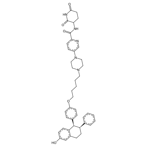 O=C1CCC(NC(=O)c2ccc(N3CCN(CCCCCOc4ccc([C@@H]5c6ccc(O)cc6CC[C@@H]5c5ccccc5)cc4)CC3)cn2)C(=O)N1